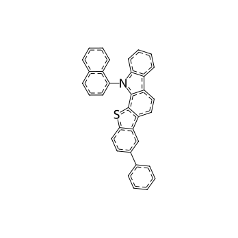 c1ccc(-c2ccc3sc4c(ccc5c6ccccc6n(-c6cccc7ccccc67)c54)c3c2)cc1